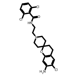 Nc1cc2c(cc1Cl)CCC1(CCN(CCNC(=O)c3c(Cl)cccc3Cl)CC1)O2